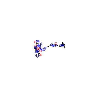 CCn1nc(C)cc1C(=O)/N=c1/[nH]c2cc(C(N)=O)cc(OC)c2n1C/C=C/Cn1/c(=N\C(=O)c2cc(C)nn2CC)[nH]c2cc(C(N)=O)cc(OCCCN3CCN(CCCCCCn4ccc5cc(C(=O)NCCc6ccc(N7C[C@H]8CC[C@@H](C7)N8)cc6)cnc54)CC3)c21